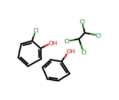 ClC(Cl)C(Cl)Cl.Oc1ccccc1.Oc1ccccc1Cl